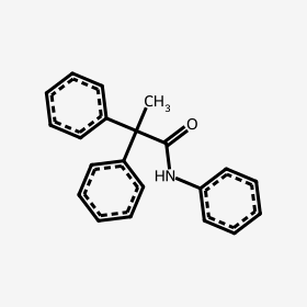 CC(C(=O)Nc1ccccc1)(c1ccccc1)c1ccccc1